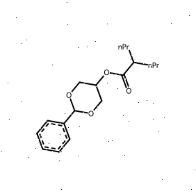 CCCC(CCC)C(=O)OC1COC(c2ccccc2)OC1